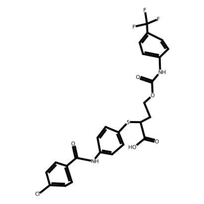 O=C(Nc1ccc(C(F)(F)F)cc1)OCCC(Sc1ccc(NC(=O)c2ccc(Cl)cc2)cc1)C(=O)O